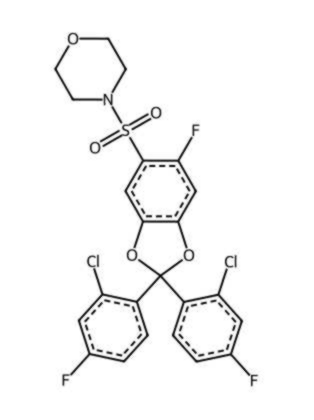 O=S(=O)(c1cc2c(cc1F)OC(c1ccc(F)cc1Cl)(c1ccc(F)cc1Cl)O2)N1CCOCC1